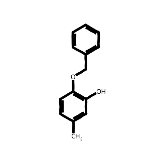 Cc1ccc(OCc2ccccc2)c(O)c1